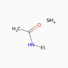 CCNC(C)=O.[SiH4]